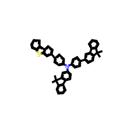 CC1(C)c2ccccc2-c2cc(-c3ccc(N(c4ccc(-c5ccc6c(c5)sc5ccccc56)cc4)c4ccc5c(c4)C(C)(C)c4ccccc4-5)cc3)ccc21